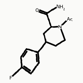 CC(=O)N1CCC(c2ccc(F)cc2)CC1C(N)=O